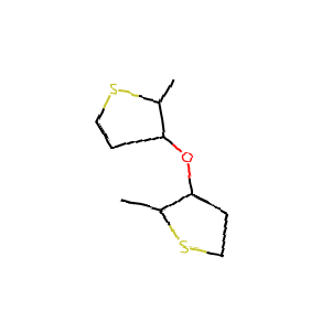 CC1SCCC1OC1CCSC1C